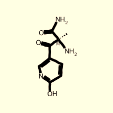 C[C@@](N)(C(N)=O)C(=O)c1ccc(O)nc1